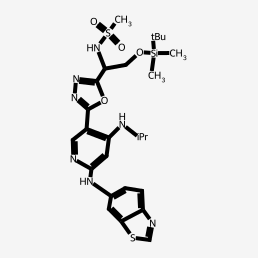 CC(C)Nc1cc(Nc2ccc3ncsc3c2)ncc1-c1nnc(C(CO[Si](C)(C)C(C)(C)C)NS(C)(=O)=O)o1